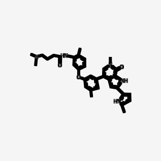 Cc1cc(Oc2ccc(C)c(NC(=O)CCCN(C)C)c2)cc(-c2cn(C)c(=O)c3[nH]c(-c4ccc(C)[nH]4)cc23)c1